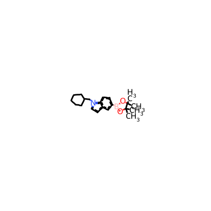 CC1(C)OB(c2ccc3c(ccn3CC3CCCCC3)c2)OC1(C)C